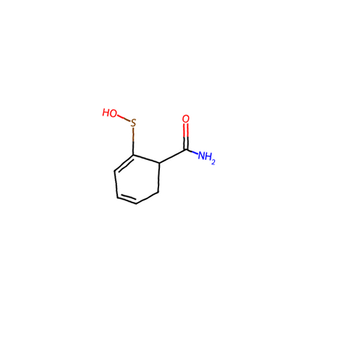 NC(=O)C1CC=CC=C1SO